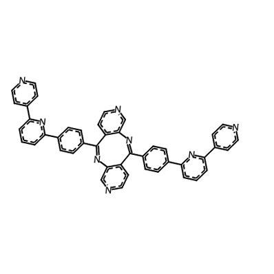 c1cc(-c2ccncc2)nc(-c2ccc(/C3=N/c4cnccc4/C(c4ccc(-c5cccc(-c6ccncc6)n5)cc4)=N\c4cnccc43)cc2)c1